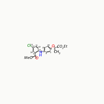 CCOC(=O)C(C)Oc1ccc(Nc2ccc(Cl)cc2C(=O)OC)cc1